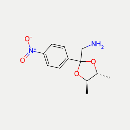 C[C@H]1OC(CN)(c2ccc([N+](=O)[O-])cc2)O[C@@H]1C